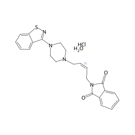 Cl.O.O=C1c2ccccc2C(=O)N1C/C=C\CN1CCN(c2nsc3ccccc23)CC1